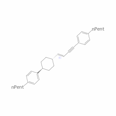 CCCCCc1ccc(C#C/C=C/[C@H]2CC[C@H](c3ccc(CCCCC)cc3)CC2)cc1